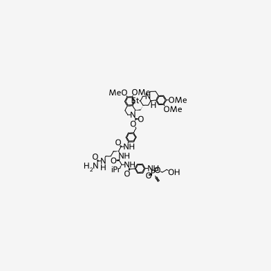 C#CP(=O)(Nc1ccc(C(=O)N[C@H](C(=O)N[C@@H](CCCNC(N)=O)C(=O)Nc2ccc(COC(=O)N3CCc4cc(OC)c(OC)cc4[C@H]3C[C@H]3C[C@H]4c5cc(OC)c(OC)cc5CCN4C[C@@H]3CC)cc2)C(C)C)cc1)OCCO